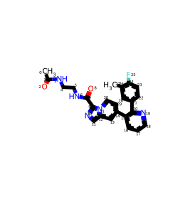 CC(=O)NCCNC(=O)c1ncc2cc(-c3cccnc3-c3ccc(F)c(C)c3)ccn12